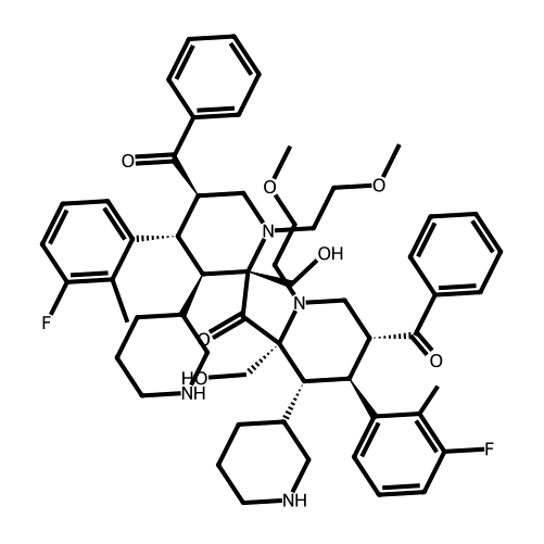 COCCN1C[C@H](C(=O)c2ccccc2)[C@@H](c2cccc(F)c2C)[C@H](C2CCCNC2)[C@@]1(CO)C(=O)[C@]1(CO)[C@@H](C2CCCNC2)[C@H](c2cccc(F)c2C)[C@@H](C(=O)c2ccccc2)CN1CCOC